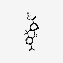 C=C(C)c1ccc2c(c1)Oc1ccc(C(=C)OCC)cc1C2(C)C